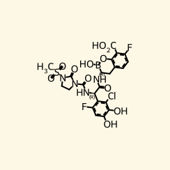 CS(=O)(=O)N1CCN(C(=O)N[C@@H](C(=O)N[C@H]2Cc3ccc(F)c(C(=O)O)c3OB2O)c2c(F)cc(O)c(O)c2Cl)C1=O